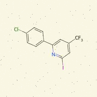 FC(F)(F)c1cc(I)nc(-c2ccc(Cl)cc2)c1